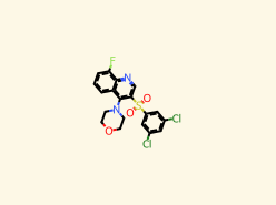 O=S(=O)(c1cc(Cl)cc(Cl)c1)c1cnc2c(F)cccc2c1N1CCOCC1